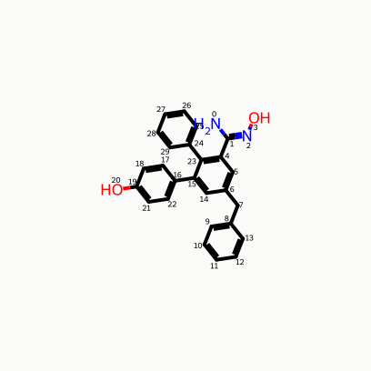 N/C(=N\O)c1cc(Cc2ccccc2)cc(-c2ccc(O)cc2)c1-c1ccccc1